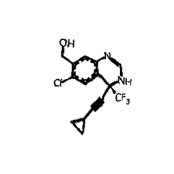 OCc1cc2c(cc1Cl)[C@](C#CC1CC1)(C(F)(F)F)NC=N2